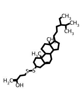 C=C(O)CCSSC1CCC2(C)C(=CCC3C2CCC2(C)C(CCCC(CC)C(C)C)CCC32)C1